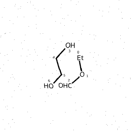 CCOC=O.OCCO